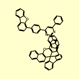 c1ccc(-c2cc(-c3ccc(-c4cccc5c4oc4ccccc45)cc3)nc(-c3ccc(-c4cccc5c4C4(c6ccccc6-5)c5ccc6ccccc6c5Oc5c4ccc4ccccc54)cc3)n2)cc1